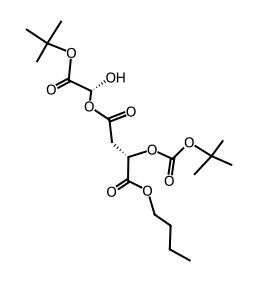 CCCCOC(=O)[C@H](CC(=O)O[C@@H](O)C(=O)OC(C)(C)C)OC(=O)OC(C)(C)C